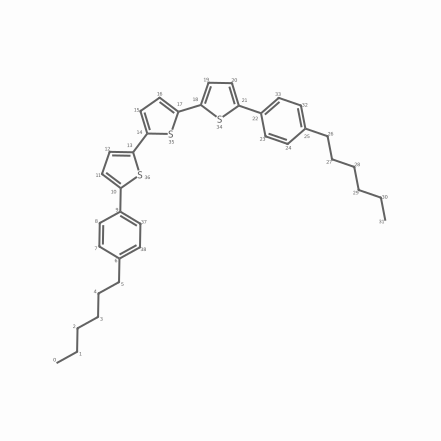 CCCCCCc1ccc(-c2ccc(-c3ccc(-c4ccc(-c5ccc(CCCCCC)cc5)s4)s3)s2)cc1